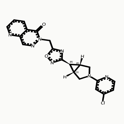 O=c1c2cccnc2cnn1Cc1nc([C@H]2[C@@H]3CN(c4cc(Cl)ccn4)C[C@@H]32)no1